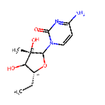 CC[C@H]1OC(n2ccc(N)nc2=O)[C@@](C)(O)C1O